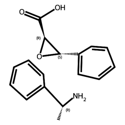 C[C@@H](N)c1ccccc1.O=C(O)[C@@H]1O[C@H]1c1ccccc1